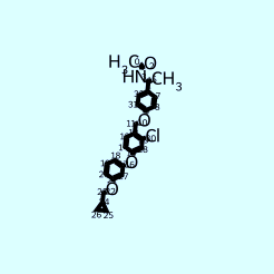 CC(=O)NC(C)c1ccc(OCc2ccc(Oc3cccc(OCC4CC4)c3)cc2Cl)cc1